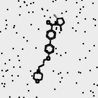 C[C@@H]1CC[C@@H](C)N1C(=O)c1ccc(-c2ccc(OCCCN3CCOCC3)cc2)cc1